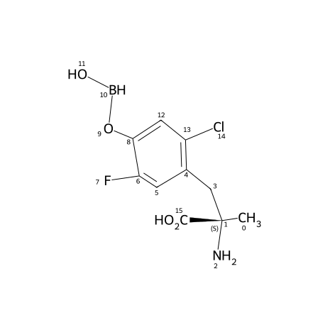 C[C@](N)(Cc1cc(F)c(OBO)cc1Cl)C(=O)O